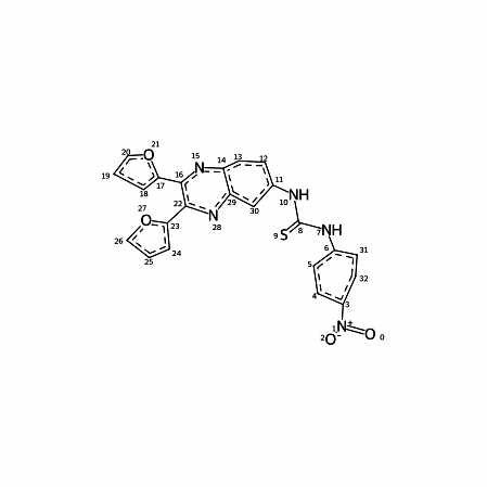 O=[N+]([O-])c1ccc(NC(=S)Nc2ccc3nc(-c4ccco4)c(-c4ccco4)nc3c2)cc1